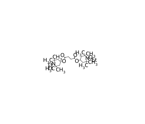 CCON1C(C)(C)CC(OC(=O)CCC(=O)OC2CC(C)(C)N(OCC)C(C)(C)C2)CC1(C)C